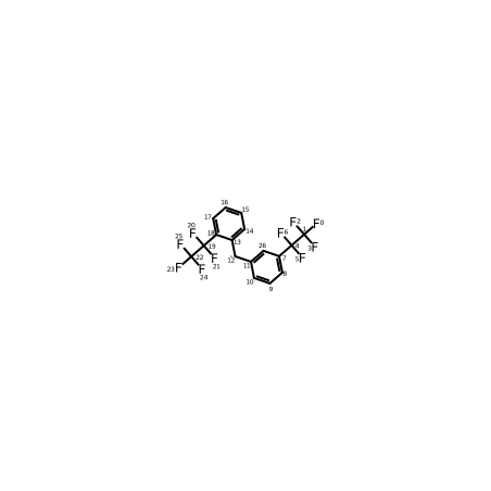 FC(F)(F)C(F)(F)c1cccc([CH]c2ccccc2C(F)(F)C(F)(F)F)c1